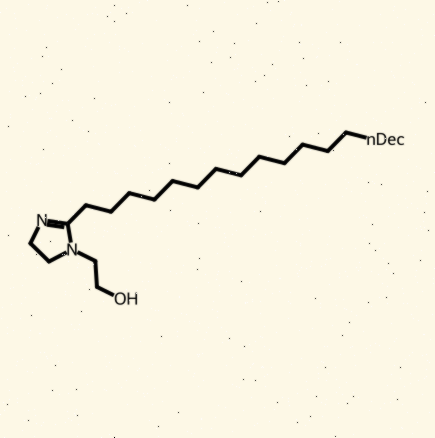 CCCCCCCCCCCCCCCCCCCCCCCC1=NCCN1CCO